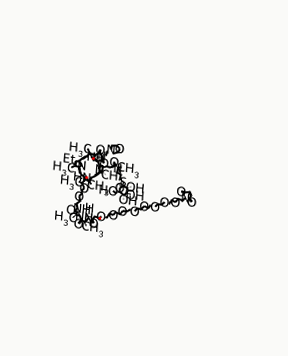 CCC1=C(C)c2cc3[nH]c(cc4nc(c5c6[nH]c(cc1n2)c(C)c6C(=O)N(CCN1CCOCC1)C5=O)[C@@H](CCC(=O)N(C)CCCS[C@@H]1O[C@H](CO)[C@@H](O)[C@H](O)[C@H]1O)[C@@H]4C)c(C)c3C(C)OCCOCCNC(=O)[C@H](C)NC(=O)[C@H](C)NC(=O)CCOCCOCCOCCOCCOCCOCCOCCOCCN1C(=O)C=CC1=O